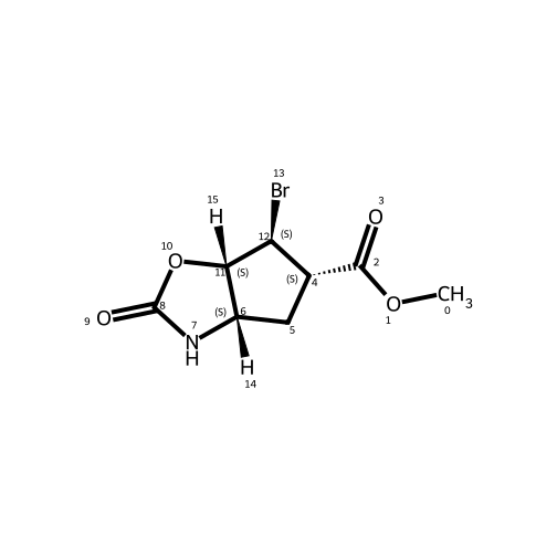 COC(=O)[C@@H]1C[C@@H]2NC(=O)O[C@@H]2[C@H]1Br